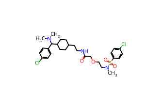 CN(C)C(c1ccc(Cl)cc1)C1CCC(CCNC(=O)COCCN(C)S(=O)(=O)c2ccc(Cl)cc2)CC1